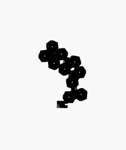 N#Cc1ccc2c(c1)c1ccccc1n2-c1ccc2c(c1)c1ccccc1n2-c1cccc2c1c1ccccc1n2-c1cccc([Si](c2ccccc2)(c2ccccc2)c2ccccc2)c1